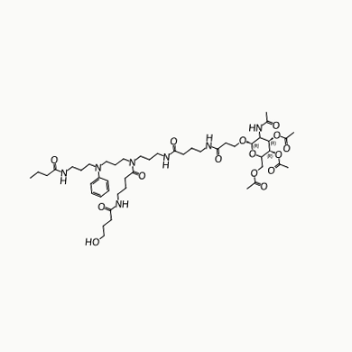 CCCC(=O)NCCCN(CCCN(CCCNC(=O)CCCNC(=O)CCO[C@@H]1OC(COC(C)=O)[C@H](OC(C)=O)[C@H](OC(C)=O)C1NC(C)=O)C(=O)CCCNC(=O)CCCO)c1ccccc1